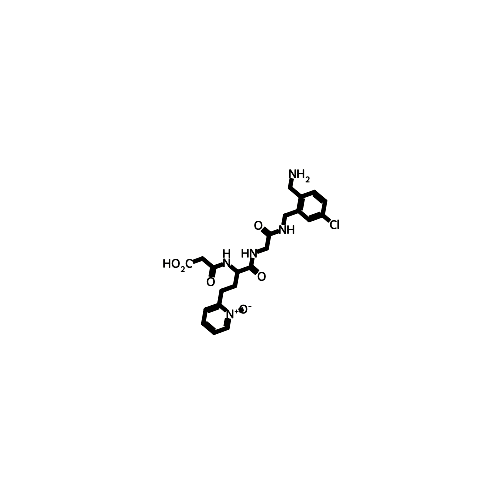 NCc1ccc(Cl)cc1CNC(=O)CNC(=O)C(CCc1cccc[n+]1[O-])NC(=O)CC(=O)O